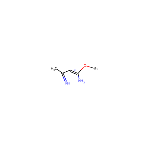 CCO/C(N)=C/C(C)=N